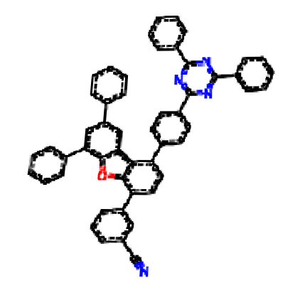 N#Cc1cccc(-c2ccc(-c3ccc(-c4nc(-c5ccccc5)nc(-c5ccccc5)n4)cc3)c3c2oc2c(-c4ccccc4)cc(-c4ccccc4)cc23)c1